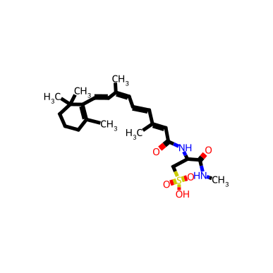 CNC(=O)C(CS(=O)(=O)O)NC(=O)/C=C(C)/C=C/C=C(C)\C=C\C1=C(C)CCCC1(C)C